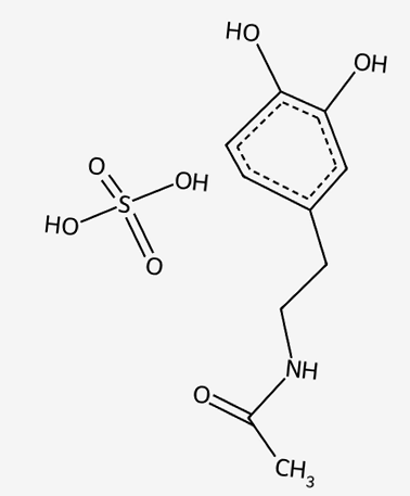 CC(=O)NCCc1ccc(O)c(O)c1.O=S(=O)(O)O